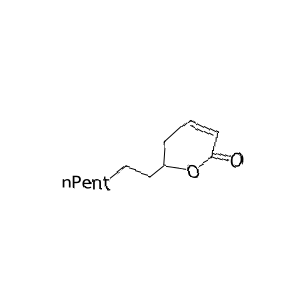 CCCCCCCC1CC=CC(=O)O1